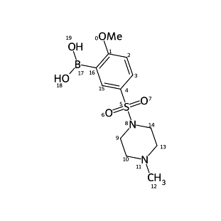 COc1ccc(S(=O)(=O)N2CCN(C)CC2)cc1B(O)O